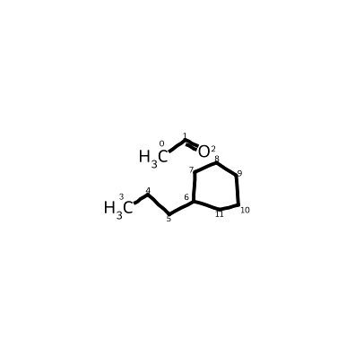 CC=O.CCCC1CCCCC1